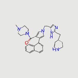 CN1CCN(C(=O)c2cn(Cc3cnc(CC4CCNCC4)[nH]3)cc2-c2cccc3ccccc23)CC1